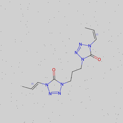 C/C=C\n1nnn(CCCn2nnn(/C=C/C)c2=O)c1=O